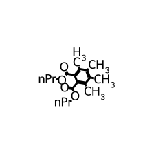 CCCOC(=O)c1c(C)c(C)c(C)c(C)c1C(=O)OCCC